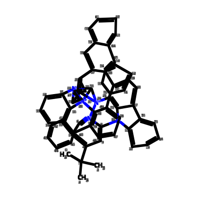 CC(C)(C)c1cc[n+]2c(c1)-n1c3ccccc3c3ccc4c(c31)[N+]21c2c(cccc2[N+]23c5ccccc5[N+]2(c2c(-c5ccccc5)cccc2C2C=CC=CC2)C13)-c1cc2ccccc2cc1-4